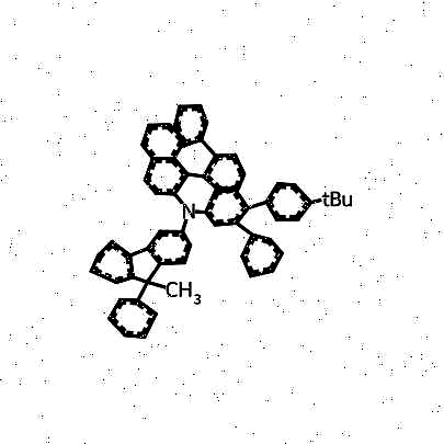 CC(C)(C)c1ccc(-c2ccc(N(c3ccc4c(c3)-c3ccccc3C4(C)c3ccccc3)c3ccc4ccccc4c3-c3ccccc3-c3ccccc3)cc2-c2ccccc2)cc1